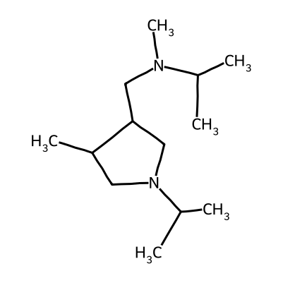 CC1CN(C(C)C)CC1CN(C)C(C)C